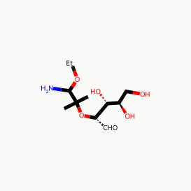 CCOC(N)C(C)(C)O[C@@H](C=O)[C@H](O)[C@H](O)CO